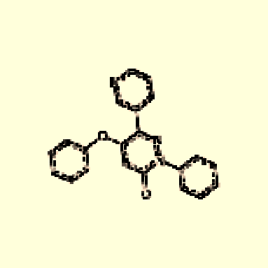 O=c1cc(Oc2ccccc2)c(-c2cccnc2)nn1-c1ccccc1